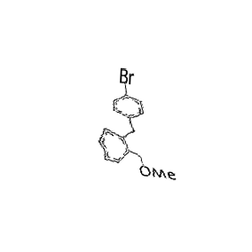 COCc1ccccc1Cc1ccc(Br)cc1